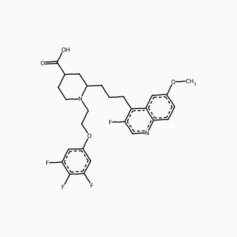 COc1ccc2ncc(F)c(CCCC3CC(C(=O)O)CCN3CCOc3cc(F)c(F)c(F)c3)c2c1